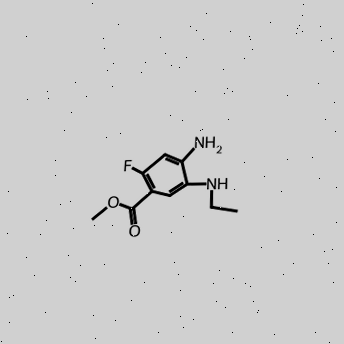 CCNc1cc(C(=O)OC)c(F)cc1N